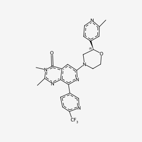 Cc1cc([C@@H]2CN(c3cc4c(=O)n(C)c(C)nc4c(-c4ccc(C(F)(F)F)nc4)n3)CCO2)ccn1